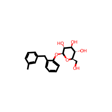 Cc1cccc(Cc2ccccc2O[C@@H]2O[C@H](CO)[C@@H](O)[C@H](O)[C@H]2O)c1